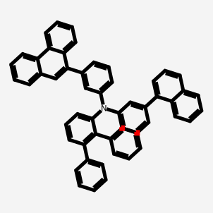 c1ccc(-c2cccc(N(c3cccc(-c4cccc5ccccc45)c3)c3cccc(-c4cc5ccccc5c5ccccc45)c3)c2-c2ccccc2)cc1